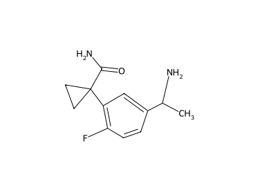 CC(N)c1ccc(F)c(C2(C(N)=O)CC2)c1